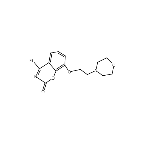 CCc1nc(=O)oc2c(OCCN3CCOCC3)cccc12